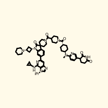 CC(C)n1cnc2cc(-c3ccc4c(c3)N([C@H]3C[C@@H](N5CCCCC5)C3)C(=O)C43CCN(C(=O)C4CCN(C(=O)[C@H]5CC[C@H](N(C)c6ccc(C7CCC(=O)NC7=O)cn6)CC5)CC4)CC3)nc(NC3CC3)c21